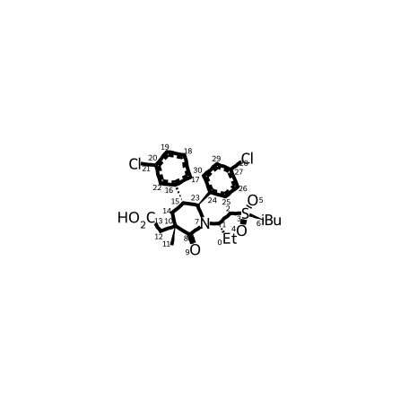 CC[C@@H](CS(=O)(=O)[C@H](C)CC)N1C(=O)[C@](C)(CC(=O)O)C[C@H](c2cccc(Cl)c2)[C@H]1c1ccc(Cl)cc1